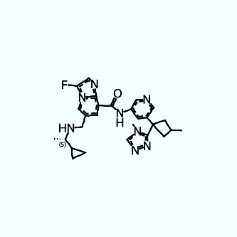 CC1CC(c2cncc(NC(=O)c3cc(CN[C@@H](C)C4CC4)cn4c(F)cnc34)c2)(c2nncn2C)C1